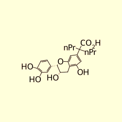 CCCC(CCC)(C(=O)O)c1cc(O)c2c(c1)O[C@@H](c1ccc(O)c(O)c1)[C@@H](O)C2